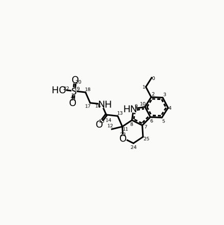 CCc1cccc2c3c([nH]c12)C(C)(CC(=O)NCCS(=O)(=O)O)OCC3